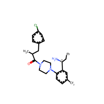 CC(C)C[C@H](N)c1cc(C(F)(F)F)ccc1N1CCN(C(=O)C(C)Cc2ccc(Cl)cc2)CC1